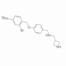 N#Cc1ccc(COc2ccc(CNCC3CNC3)cc2)c(Br)c1